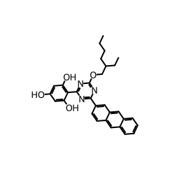 CCCCC(CC)COc1nc(-c2ccc3cc4ccccc4cc3c2)nc(-c2c(O)cc(O)cc2O)n1